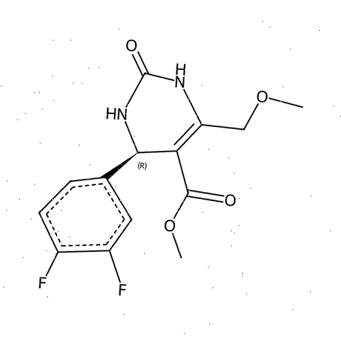 COCC1=C(C(=O)OC)[C@@H](c2ccc(F)c(F)c2)NC(=O)N1